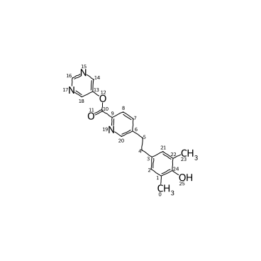 Cc1cc(CCc2ccc(C(=O)Oc3cncnc3)nc2)cc(C)c1O